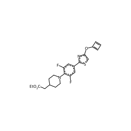 CCOC(=O)CC1CCN(c2c(F)cc(-c3nc(OC4=CC=C4)cs3)cc2F)CC1